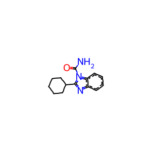 NC(=O)n1c(C2CCCCC2)nc2ccccc21